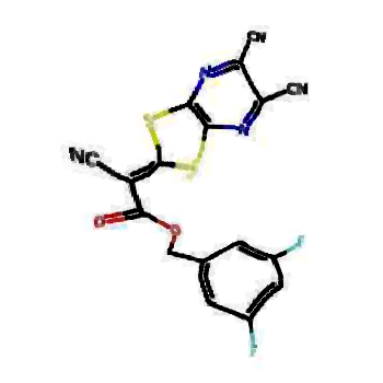 N#CC(C(=O)OCc1cc(F)cc(F)c1)=C1Sc2nc(C#N)c(C#N)nc2S1